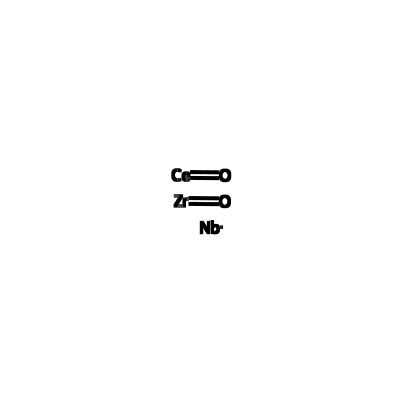 [Nb].[O]=[Ce].[O]=[Zr]